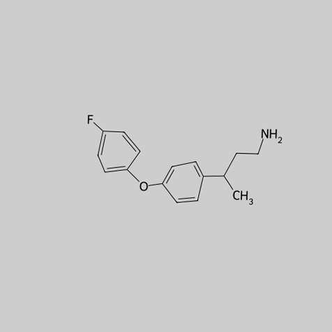 CC(CCN)c1ccc(Oc2ccc(F)cc2)cc1